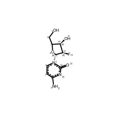 Nc1ccn([C@@H]2OC(CO)[C@@H](O)[C@H]2F)c(=O)n1